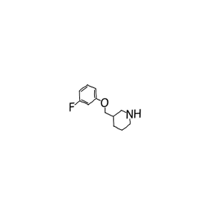 Fc1cccc(OCC2CCCNC2)c1